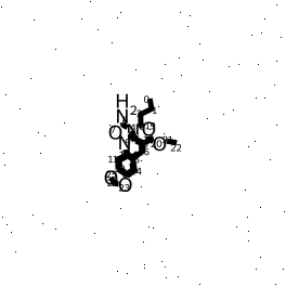 CCCCN(C(N)=O)c1nc2cc3c(cc2cc1C(=O)OCC)OCO3